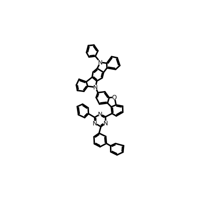 c1ccc(-c2cccc(-c3nc(-c4ccccc4)nc(-c4cccc5oc6cc(-n7c8ccccc8c8cc9c(cc87)c7ccccc7n9-c7ccccc7)ccc6c45)n3)c2)cc1